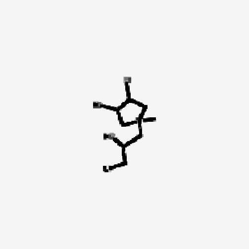 CCC1C[N+](C)(CC(O)CCl)CC1CC